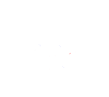 CC(C)(C)NC(=O)[C@@H]1C[C@H](c2ccccc2)CCN1C[C@@H](O)[C@H](Cc1ccccc1)NC(=O)OCc1ccccc1